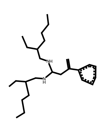 C=C(CC(NCC(CC)CCCC)NCC(CC)CCCC)c1ccccc1